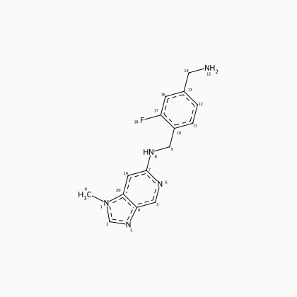 Cn1cnc2cnc(NCc3ccc(CN)cc3F)cc21